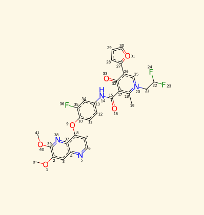 COc1cc2nccc(Oc3ccc(NC(=O)c4c(C)n(CC(F)F)cc(-c5ccco5)c4=O)cc3F)c2nc1OC